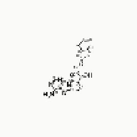 CO[C@@H]1[C@H](O)[C@@H](COC2Cc3ccccc3C2)O[C@H]1n1cnc2c(N)ncnc21